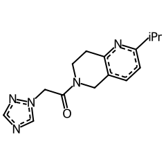 CC(C)c1ccc2c(n1)CCN(C(=O)Cn1cncn1)C2